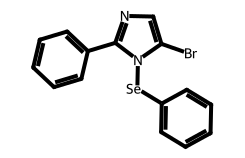 Brc1cnc(-c2ccccc2)n1[Se]c1ccccc1